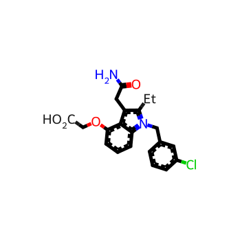 CCc1c(CC(N)=O)c2c(OCC(=O)O)cccc2n1Cc1cccc(Cl)c1